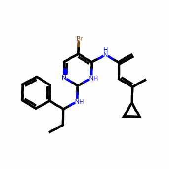 C=C(/C=C(\C)C1CC1)NC1=C(Br)C=NC(NC(CC)c2ccccc2)N1